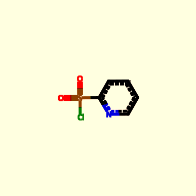 O=S(=O)(Cl)c1c[c]ccn1